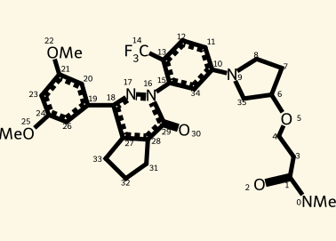 CNC(=O)CCOC1CCN(c2ccc(C(F)(F)F)c(-n3nc(-c4cc(OC)cc(OC)c4)c4c(c3=O)CCC4)c2)C1